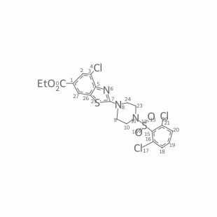 CCOC(=O)c1cc(Cl)c2nc(N3CCN(S(=O)(=O)c4c(Cl)cccc4Cl)CC3)sc2c1